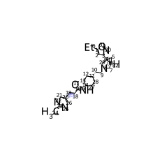 CCc1cc([C@]23C[C@H]2CN(CC[C@H]2CC[C@H](NC(=O)/C=C/c4cnc(C)nc4)CC2)C3)no1